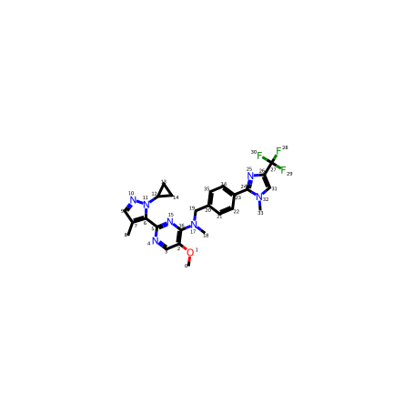 COc1cnc(-c2c(C)cnn2C2CC2)nc1N(C)Cc1ccc(-c2nc(C(F)(F)F)cn2C)cc1